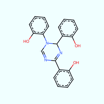 Oc1ccccc1C1=NC(c2ccccc2O)N(c2ccccc2O)[C]=N1